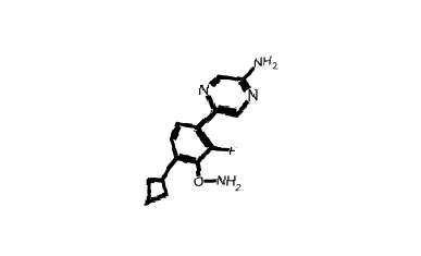 NOc1c(C2CCC2)ccc(-c2cnc(N)cn2)c1F